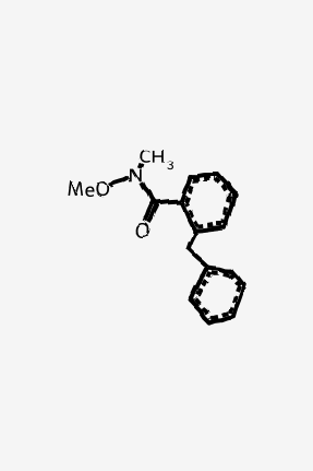 CON(C)C(=O)c1ccccc1Cc1ccccc1